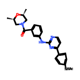 CC(=O)Nc1ccc(-c2ccnc(Nc3cccc(C(=O)N4C[C@@H](C)O[C@@H](C)C4)c3)n2)cc1